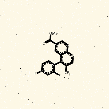 COC(=O)c1ccc2ncc(C(F)(F)F)c(-c3ccc(F)cc3F)c2c1